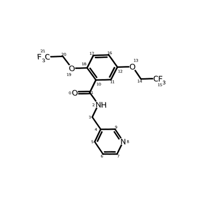 O=C(NCc1cccnc1)c1cc(OCC(F)(F)F)ccc1OCC(F)(F)F